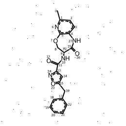 Cc1ccc2c(n1)OC[C@H](NC(=O)c1cc(Cc3ccccc3)on1)C(=O)N2